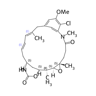 COc1cc2cc(c1Cl)N(C)C(=O)CC[C@]1(C)O[C@H]1[C@H](C)[C@@H]1C[C@H](C/C=C/C=C(\C)C2)NC(=O)O1